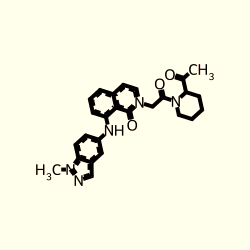 CC(=O)C1CCCCN1C(=O)Cn1ccc2cccc(Nc3ccc4c(cnn4C)c3)c2c1=O